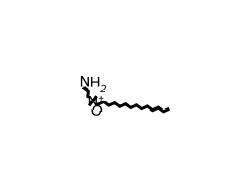 CCCCCCCCCCCCCC(=O)[N+](C)(C)CCCN